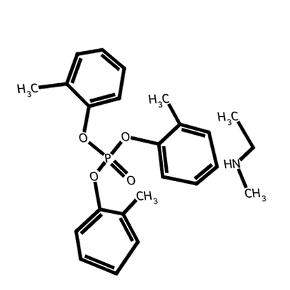 CCNC.Cc1ccccc1OP(=O)(Oc1ccccc1C)Oc1ccccc1C